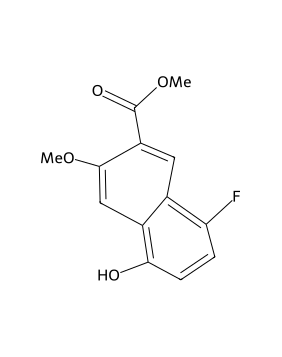 COC(=O)c1cc2c(F)ccc(O)c2cc1OC